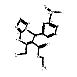 CCOC(=O)C1=C(CCl)Nc2nccn2C1c1cccc([N+](=O)[O-])c1